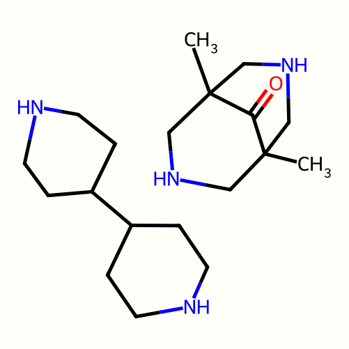 C1CC(C2CCNCC2)CCN1.CC12CNCC(C)(CNC1)C2=O